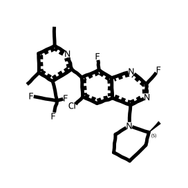 Cc1cc(C)c(C(F)(F)F)c(-c2c(Cl)cc3c(N4CCCC[C@@H]4C)nc(F)nc3c2F)n1